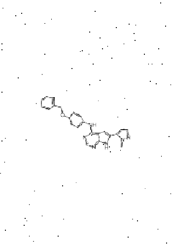 Cn1nccc1-c1cc2c(Nc3ccc(OCc4ccccc4)cc3)ncnc2[nH]1